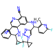 Cc1nc(F)ccc1C(Nc1cc(C#N)c2ncc(C#N)c(NC(c3ccccc3)C3CC3)c2c1)c1cn(C2(C(F)(F)F)CC2)nn1